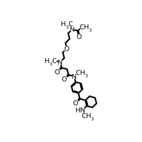 CNC1=C(C(=O)c2ccc(N(C)C(=O)CC(=O)N(C)CCOCCCN(C)C(C)=O)cc2)CCCC1